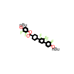 CCCCOc1ccc(OC(=O)C2CC=C(c3ccc(-c4ccc(OCCCC)c(F)c4F)c(F)c3F)CC2)c(F)c1F